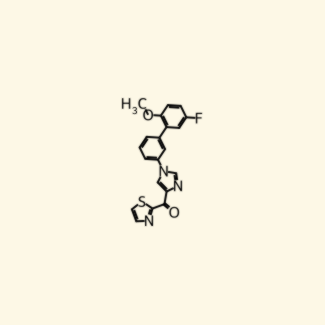 COc1ccc(F)cc1-c1cccc(-n2cnc(C(=O)c3nccs3)c2)c1